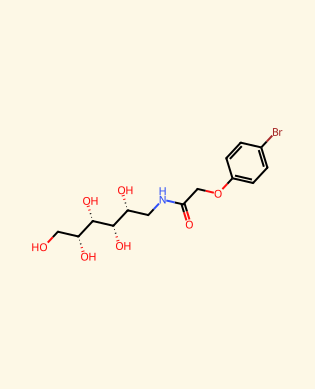 O=C(COc1ccc(Br)cc1)NC[C@@H](O)[C@H](O)[C@@H](O)[C@H](O)CO